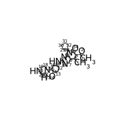 CC(=O)c1c(C)c2cnc(Nc3ccc4c(c3)N3CCNC[C@H]3CO4)nc2n(C2CCCC2)c1=O